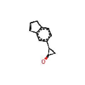 O=C1CC1c1ccc2c(c1)C=CC2